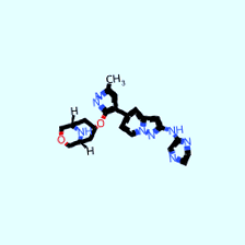 Cc1cc(-c2ccn3nc(Nc4cnccn4)cc3c2)c(OC2C[C@H]3COC[C@@H](C2)N3)nn1